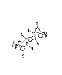 N#CC1=C(c2ccc(C(F)(F)F)cc2)/C(=C(/C#N)c2cc(C#N)cc(C#N)c2)c2cc3c(cc21)/C(=C(\C#N)c1cc(C#N)cc(C#N)c1)C(c1ccc(C(F)(F)F)cc1)=C3C#N